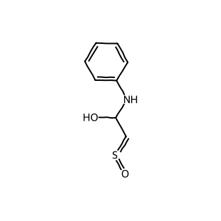 O=S=CC(O)Nc1ccccc1